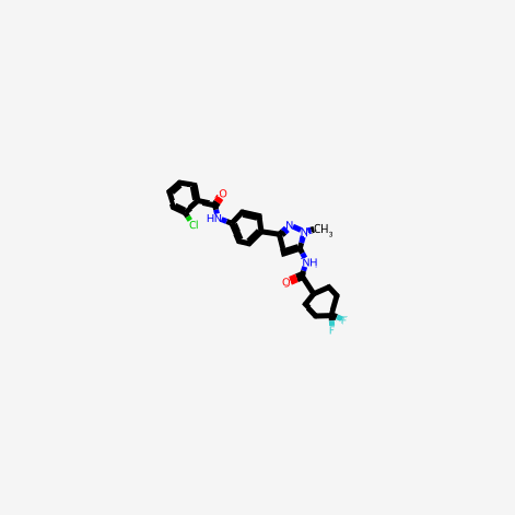 Cn1nc(-c2ccc(NC(=O)c3ccccc3Cl)cc2)cc1NC(=O)C1CCC(F)(F)CC1